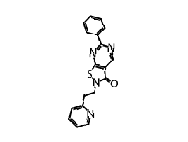 O=c1c2cnc(-c3ccccc3)nc2sn1CCc1ccccn1